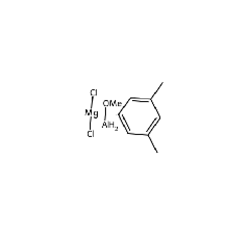 C[O][AlH2].Cc1c[c]cc(C)c1.[Cl][Mg][Cl]